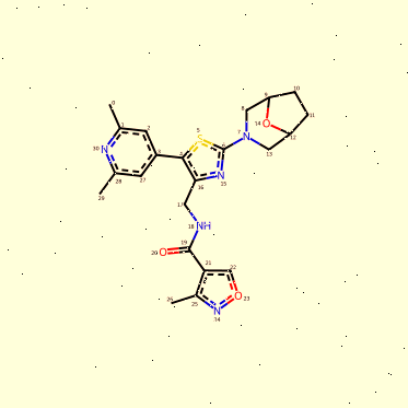 Cc1cc(-c2sc(N3CC4CCC(C3)O4)nc2CNC(=O)c2conc2C)cc(C)n1